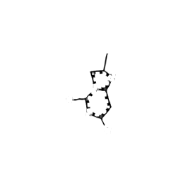 Cc1cn2c(Cl)nc(Cl)cc2n1